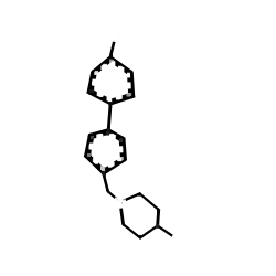 OC1CCN(Cc2ccc(-c3ccc(Br)cc3)cc2)CC1